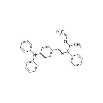 C=COC(C)N(/N=C/c1ccc(N(c2ccccc2)c2ccccc2)cc1)c1ccccc1